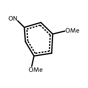 COc1cc(N=O)cc(OC)c1